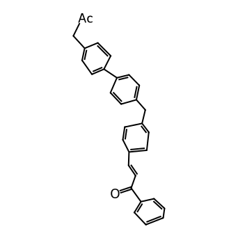 CC(=O)Cc1ccc(-c2ccc(Cc3ccc(/C=C/C(=O)c4ccccc4)cc3)cc2)cc1